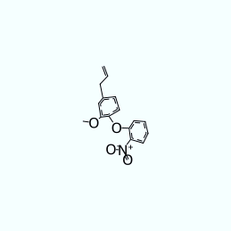 C=CCc1ccc(Oc2ccccc2[N+](=O)[O-])c(OC)c1